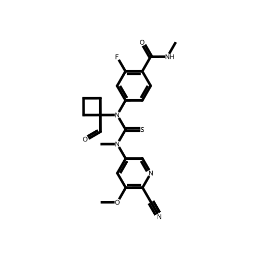 CNC(=O)c1ccc(N(C(=S)N(C)c2cnc(C#N)c(OC)c2)C2(C=O)CCC2)cc1F